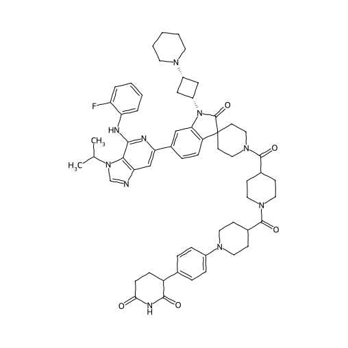 CC(C)n1cnc2cc(-c3ccc4c(c3)N([C@H]3C[C@@H](N5CCCCC5)C3)C(=O)C43CCN(C(=O)C4CCN(C(=O)C5CCN(c6ccc(C7CCC(=O)NC7=O)cc6)CC5)CC4)CC3)nc(Nc3ccccc3F)c21